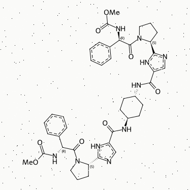 COC(=O)N[C@@H](C(=O)N1CCC[C@H]1c1ncc(C(=O)N[C@H]2CC[C@H](NC(=O)c3cnc([C@@H]4CCCN4C(=O)[C@H](NC(=O)OC)c4ccccc4)[nH]3)CC2)[nH]1)c1ccccc1